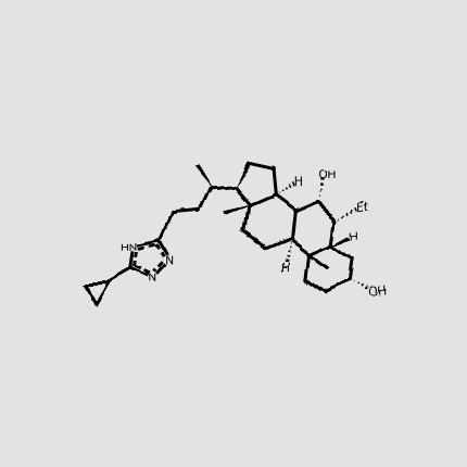 CC[C@H]1[C@@H](O)C2[C@H](CC[C@]3(C)[C@@H]([C@H](C)CCc4nnc(C5CC5)[nH]4)CC[C@@H]23)C2(C)CC[C@@H](O)C[C@@H]12